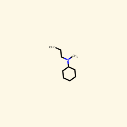 CN(CCC=O)C1CCCCC1